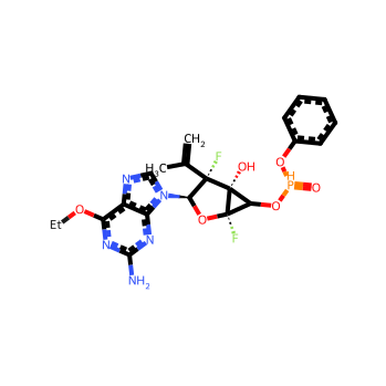 C=C(C)[C@]1(F)[C@H](n2cnc3c(OCC)nc(N)nc32)O[C@]2(F)C(O[PH](=O)Oc3ccccc3)[C@@]21O